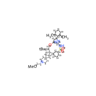 COCCN1CCC2(CC1)CC(C1c3cccc(c3)S(=O)(=O)Nc3nc(cc(-c4c(C)cccc4C)n3)OC[C@H]1CC(C)(C)C)C2